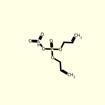 C=CCOP(=O)(OCC=C)O[SH](=O)=O